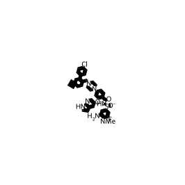 CNc1c(N)cc([S+]([O-])NC(=O)c2ccc(N3CCN(CC4=C(c5ccc(Cl)cc5)CC5(CCC5)CC4)CC3)cc2Oc2cnc3[nH]ccc3c2)cc1F